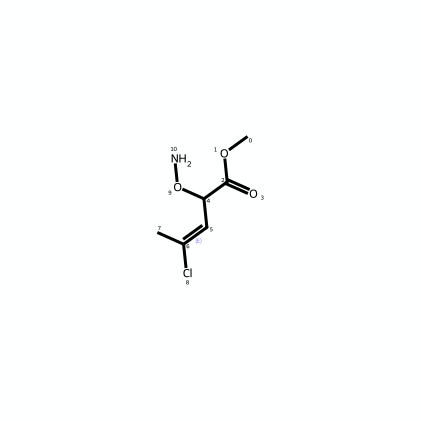 COC(=O)C(/C=C(\C)Cl)ON